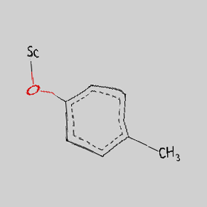 Cc1ccc([O][Sc])cc1